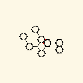 c1ccc(-c2cccc(N(c3cccc(-c4ccccc4)c3)c3ccccc3-c3cccc(-c4cccc5ccccc45)c3)c2)cc1